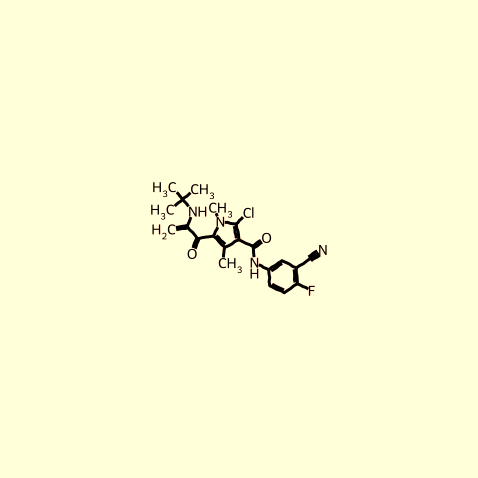 C=C(NC(C)(C)C)C(=O)c1c(C)c(C(=O)Nc2ccc(F)c(C#N)c2)c(Cl)n1C